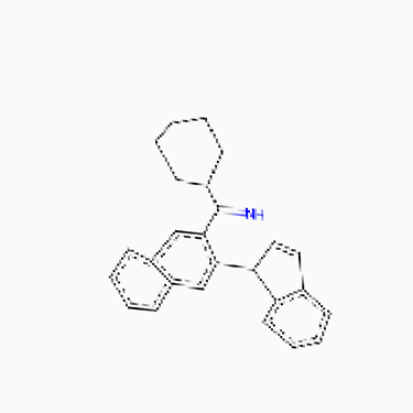 N=C(c1cc2ccccc2cc1C1C=Cc2ccccc21)C1CCCCC1